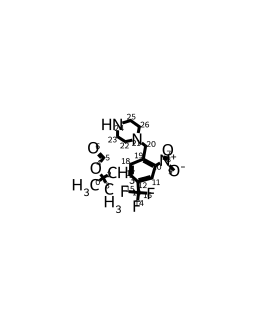 CC(C)(C)OC=O.O=[N+]([O-])c1cc(C(F)(F)F)ccc1CN1CCNCC1